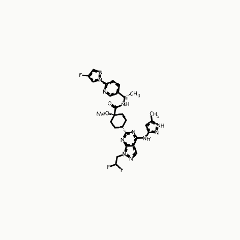 CO[C@]1(C(=O)N[C@@H](C)c2ccc(-n3cc(F)cn3)nc2)CC[C@@H](c2nc(Nc3cc(C)[nH]n3)c3cnn(CC(F)F)c3n2)CC1